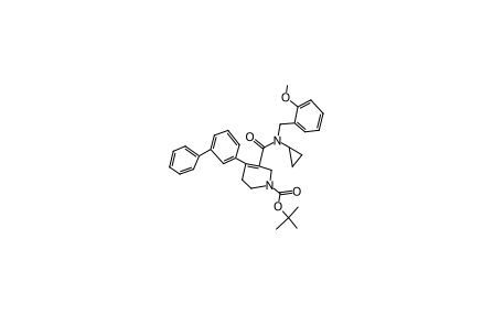 COc1ccccc1CN(C(=O)C1=C(c2cccc(-c3ccccc3)c2)CCN(C(=O)OC(C)(C)C)C1)C1CC1